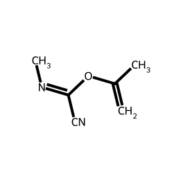 C=C(C)O/C(C#N)=N\C